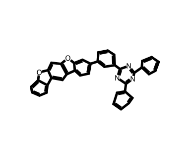 c1ccc(-c2nc(-c3ccccc3)nc(-c3cccc(-c4ccc5c(c4)oc4cc6oc7ccccc7c6cc45)c3)n2)cc1